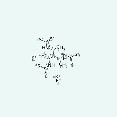 CC(NC(=S)[S-])N(C(C)NC(=S)[S-])C(C)NC(=S)[S-].[K+].[K+].[K+]